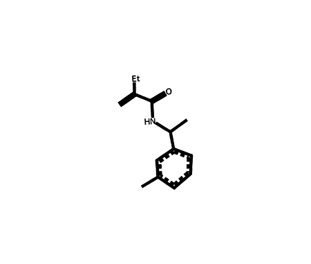 C=C(CC)C(=O)NC(C)c1cccc(C)c1